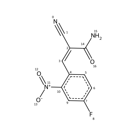 N#CC(=Cc1ccc(F)cc1[N+](=O)[O-])C(N)=O